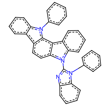 c1ccc(-n2c(-n3c4ccccc4c4c3ccc3c5ccccc5n(-c5ccccc5)c34)nc3ccccc32)cc1